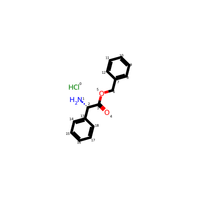 Cl.N[C@H](C(=O)OCc1ccccc1)c1ccccc1